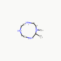 FC(F)(F)C1CNCCNCCNCC[N]1[Ti]